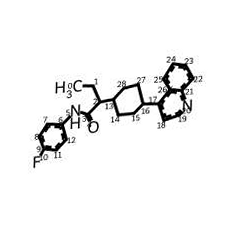 CCC(C(=O)Nc1ccc(F)cc1)C1CCC(c2ccnc3ccccc23)CC1